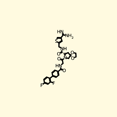 N=C(N)c1csc(CNC(=O)[C@@H]2CC3(CN2C(=O)CNC(=O)c2ccc(-c4ccc(F)cc4F)cc2)OCCO3)c1